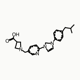 CC(C)Cc1ccc(N2C=CN(c3ccc(CN4CC(C(=O)O)C4)cn3)C2)cc1